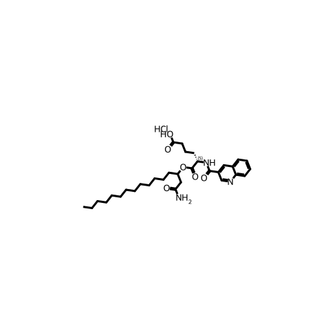 CCCCCCCCCCCCCC(CC(N)=O)OC(=O)[C@H](CCCC(=O)O)NC(=O)c1cnc2ccccc2c1.Cl